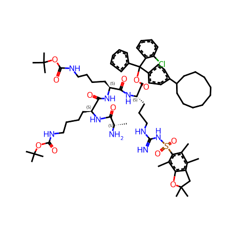 Cc1c(C)c(S(=O)(=O)NC(=N)NCCC[C@H](NC(=O)[C@H](CCCCNC(=O)OC(C)(C)C)NC(=O)[C@H](CCCCNC(=O)OC(C)(C)C)NC(=O)[C@H](C)N)C(=O)OC(c2ccccc2)(c2ccc(C3CCCCCCCCC3)cc2)c2ccccc2Cl)c(C)c2c1CC(C)(C)O2